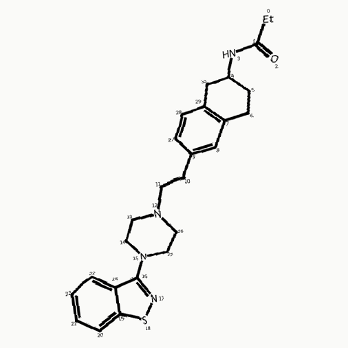 CCC(=O)NC1CCc2cc(CCN3CCN(c4nsc5ccccc45)CC3)ccc2C1